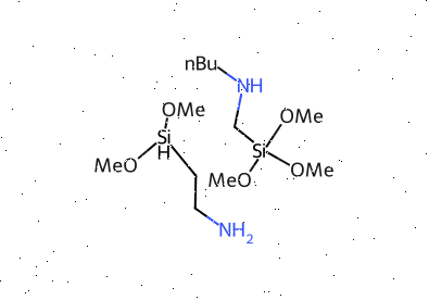 CCCCNC[Si](OC)(OC)OC.CO[SiH](CCN)OC